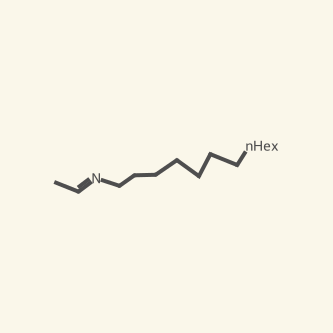 CC=NCCCCCCCCCCCCC